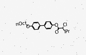 CCCCCCCCOc1ccc(-c2ccc(OC(=O)C(Cl)C(C)C)cc2)cc1